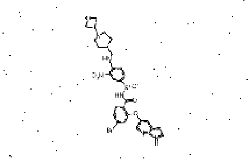 O=C(N[S+]([O-])c1ccc(NCC2CCN(C3COC3)CC2)c([N+](=O)[O-])c1)c1ccc(Br)cc1Oc1cnc2[nH]ccc2c1